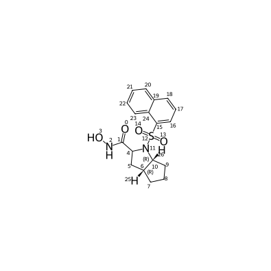 O=C(NO)C1C[C@H]2CCC[C@H]2N1S(=O)(=O)c1cccc2ccccc12